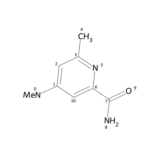 CNc1cc(C)nc(C(N)=O)c1